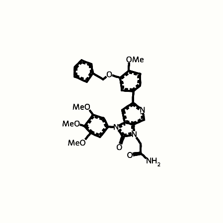 COc1ccc(-c2cc3c(cn2)n(CC(N)=O)c(=O)n3-c2cc(OC)c(OC)c(OC)c2)cc1OCc1ccccc1